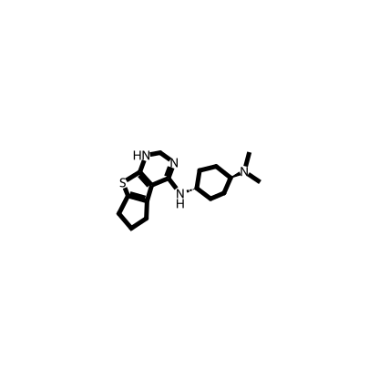 CN(C)[C@H]1CC[C@H](NC2=NCNc3sc4c(c32)CCC4)CC1